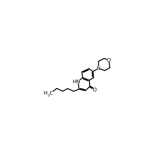 CCCCCc1cc(=O)c2cc(N3CCOCC3)ccc2[nH]1